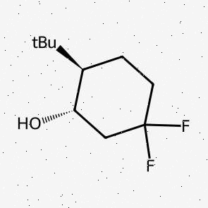 CC(C)(C)[C@H]1CCC(F)(F)C[C@@H]1O